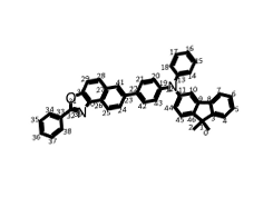 CC1(C)c2ccccc2-c2cc(N(c3ccccc3)c3ccc(-c4ccc5c(ccc6oc(-c7ccccc7)nc65)c4)cc3)ccc21